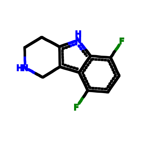 Fc1ccc(F)c2c3c([nH]c12)CCNC3